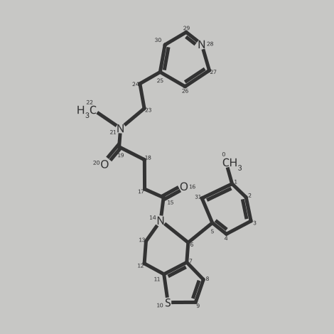 Cc1cccc(C2c3ccsc3CCN2C(=O)CCC(=O)N(C)CCc2ccncc2)c1